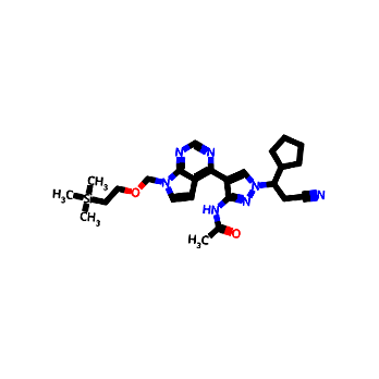 CC(=O)Nc1nn(C(CC#N)C2CCCC2)cc1-c1ncnc2c1ccn2COCC[Si](C)(C)C